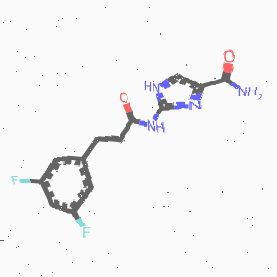 NC(=O)c1c[nH]c(NC(=O)[CH]Cc2cc(F)cc(F)c2)n1